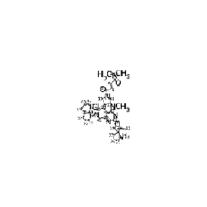 CN(C)C(=O)/C=C/C(=O)N1CC[C@@H](N(C)c2nc(OCC34CCCN3CCC4)nc3c2CCN(c2cccc4cccc(Cl)c24)C3)C1